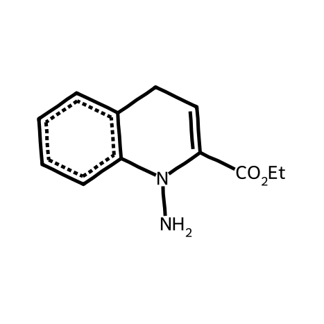 CCOC(=O)C1=CCc2ccccc2N1N